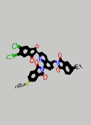 CCCCSc1ccc2c(c1)C(=O)N(c1ccc(CN3C(=O)c4ccc(CC)cc4C3=O)c3ccc(C4C(=O)c5cc(Cl)c(Cl)cc5C4=O)nc13)C2=O